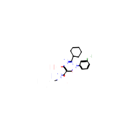 O=C(O)CNC(=O)c1c(O)nc(C2CCCCC2)n(-c2cccc(Br)c2)c1=O